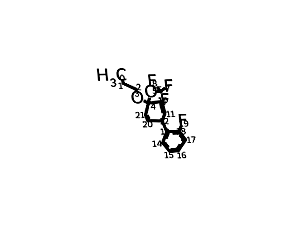 CCCOC1(OC(F)(F)F)C=CC(c2ccccc2F)C=C1